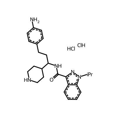 CC(C)n1nc(C(=O)NC(CCc2ccc(N)cc2)C2CCNCC2)c2ccccc21.Cl.Cl